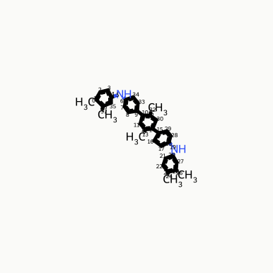 Cc1ccc(Nc2ccc(-c3cc(C)c(-c4ccc(Nc5ccc(C)c(C)c5)cc4)cc3C)cc2)cc1C